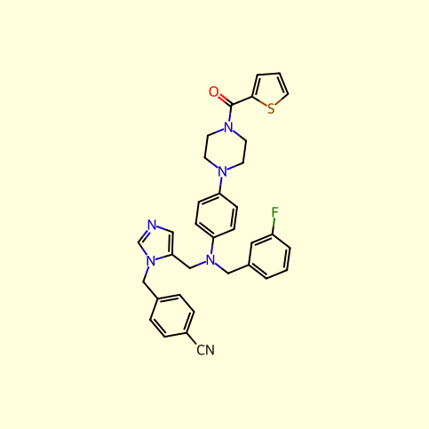 N#Cc1ccc(Cn2cncc2CN(Cc2cccc(F)c2)c2ccc(N3CCN(C(=O)c4cccs4)CC3)cc2)cc1